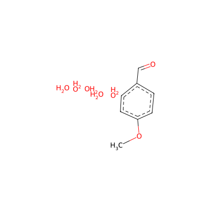 COc1ccc(C=O)cc1.O.O.O.O.O